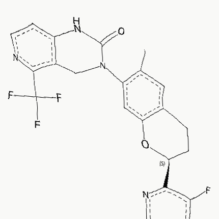 Cc1cc2c(cc1N1Cc3c(ccnc3C(F)(F)F)NC1=O)O[C@H](c1ncccc1F)CC2